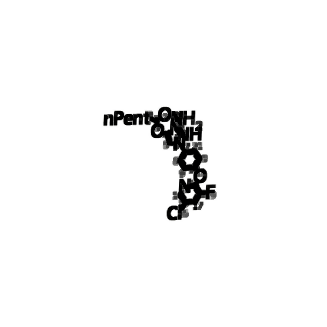 CCCCCC(=O)OC1=CN(c2ccc(Oc3ncc(Cl)cc3F)cc2)NN1N